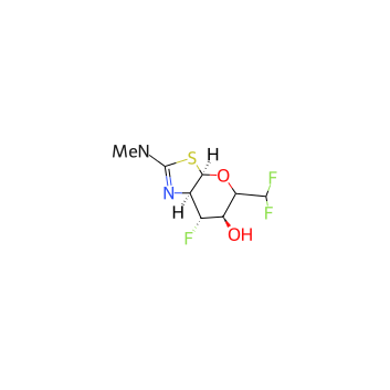 CNC1=N[C@@H]2[C@@H](F)[C@H](O)C(C(F)F)O[C@@H]2S1